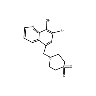 O=S1(=O)CCN(Cc2cc(Br)c(O)c3ncccc23)CC1